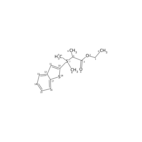 CCOC(=O)C(C)S(C)(C)c1cc2ccccc2s1